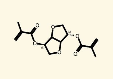 C=C(C)C(=O)O[C@H]1COC2C1OC[C@H]2OC(=O)C(=C)C